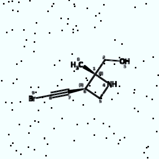 C[C@@]1(CO)NC[C@H]1C#CBr